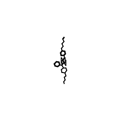 C=CCCCCc1ccc(C=NN=C(c2ccccc2)C2CCC(CCCCC)CC2)cc1